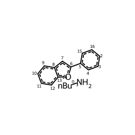 CCCCN.c1ccc(-c2cc3ccccc3o2)cc1